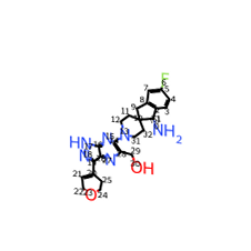 N[C@@H]1c2ccc(F)cc2CC12CCN(c1nc3[nH]nc(C4=CCOCC4)c3nc1CO)CC2